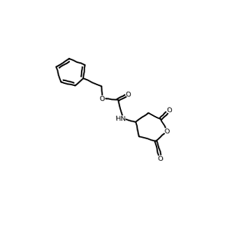 O=C1CC(NC(=O)OCc2ccccc2)CC(=O)O1